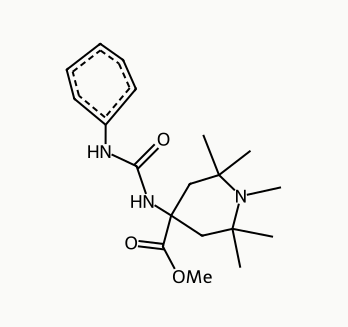 COC(=O)C1(NC(=O)Nc2ccccc2)CC(C)(C)N(C)C(C)(C)C1